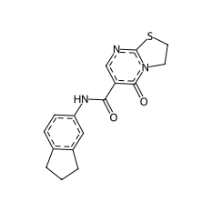 O=C(Nc1ccc2c(c1)CCC2)c1cnc2n(c1=O)CCS2